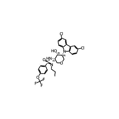 CCCN=S(=O)(N[C@H]1COC[C@@H](n2c3ccc(Cl)cc3c3cc(Cl)ccc32)[C@H]1O)c1ccc(OC(F)(F)F)cc1